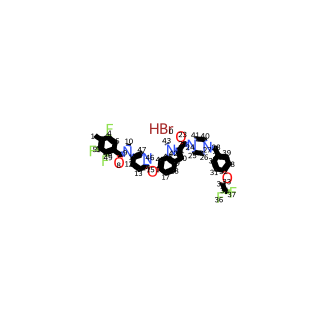 Br.Cc1c(F)cc(C(=O)N(C)c2ccc(Oc3ccc4cc(C(=O)N5CCN(Cc6ccc(OCC(F)F)cc6)CC5)n(C)c4c3)nc2)c(F)c1F